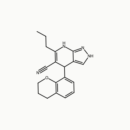 CCCC1=C(C#N)C(c2cccc3c2OCCC3)c2c[nH]nc2N1